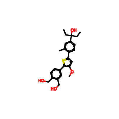 CCC(O)(CC)c1ccc(-c2cc(OC)c(-c3ccc(CO)c(CO)c3)s2)c(C)c1